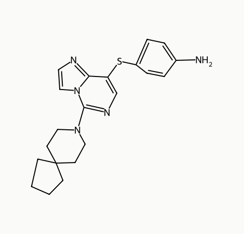 Nc1ccc(Sc2cnc(N3CCC4(CCCC4)CC3)n3ccnc23)cc1